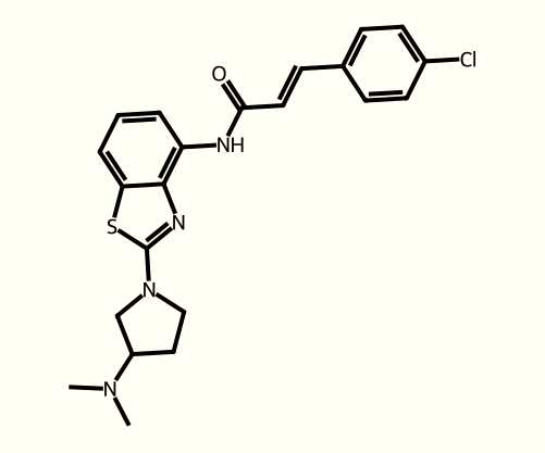 CN(C)C1CCN(c2nc3c(NC(=O)C=Cc4ccc(Cl)cc4)cccc3s2)C1